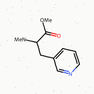 CNC(Cc1cccnc1)C(=O)OC